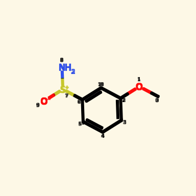 COc1cc[c]c([S+](N)[O-])c1